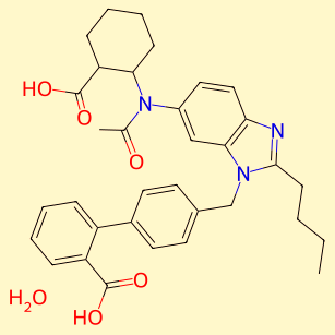 CCCCc1nc2ccc(N(C(C)=O)C3CCCCC3C(=O)O)cc2n1Cc1ccc(-c2ccccc2C(=O)O)cc1.O